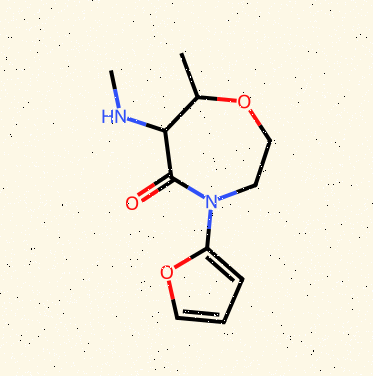 CNC1C(=O)N(c2ccco2)CCOC1C